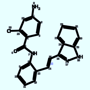 Nc1ccc(C(=O)Nc2ccccc2/C=C/c2n[nH]c3ccccc23)c(Cl)c1